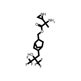 CC(N)(C(=O)OCC1CC2CC1CC2CC(O)(C(F)(F)F)C(F)(F)F)C1CN1